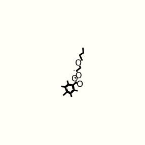 CCCCOC[CH]OOC(=O)c1c(C)c(C)c(C)c(C)c1C